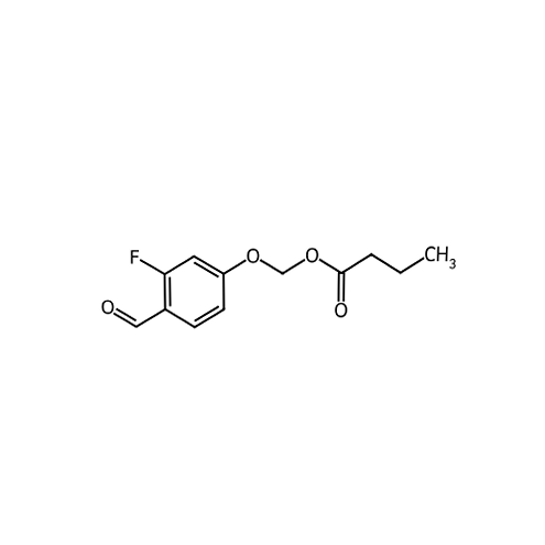 CCCC(=O)OCOc1ccc(C=O)c(F)c1